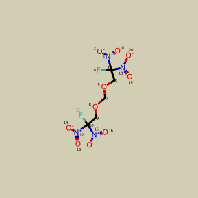 O=[N+]([O-])C(F)(COCOCC(F)([N+](=O)[O-])[N+](=O)[O-])[N+](=O)[O-]